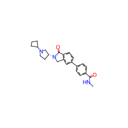 CNC(=O)c1ccc(-c2ccc3c(c2)CN([C@@H]2CCN(C4CCC4)C2)C3=O)cc1